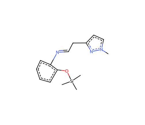 Cn1ccc(CC=Nc2ccccc2O[Si](C)(C)C)n1